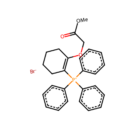 COC(=O)COC1=C([P+](c2ccccc2)(c2ccccc2)c2ccccc2)CCCC1.[Br-]